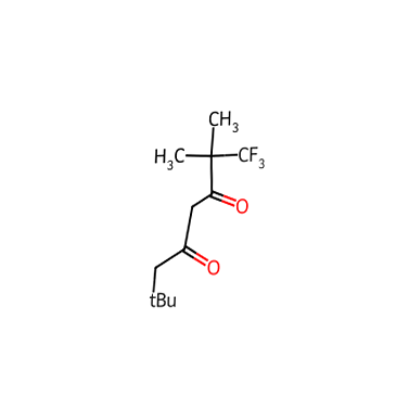 CC(C)(C)CC(=O)CC(=O)C(C)(C)C(F)(F)F